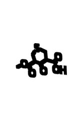 COC(=O)C1CSCC(C(=O)O)C1=O